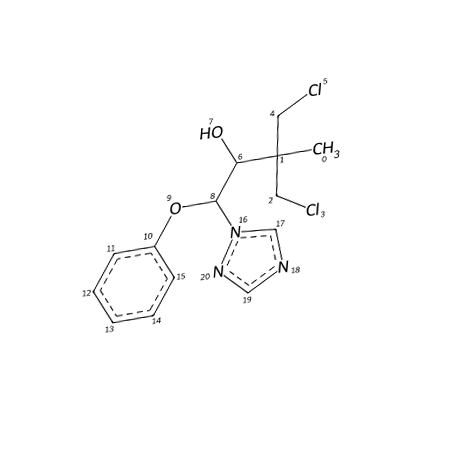 CC(CCl)(CCl)C(O)C(Oc1ccccc1)n1cncn1